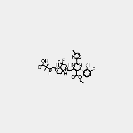 CCOC(=O)C1=C(CN2CC(F)(F)[C@H]3[C@@H]2CCN3C[C@@H](F)C(C)(C)C(=O)O)NC(c2nc(C)cs2)=N[C@@H]1c1cccc(F)c1Cl